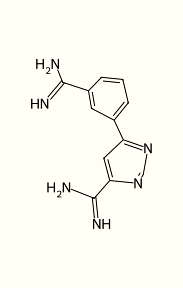 N=C(N)c1cccc(-c2cc(C(=N)N)ncn2)c1